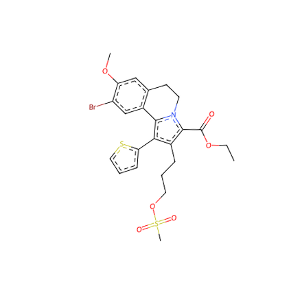 CCOC(=O)c1c(CCCOS(C)(=O)=O)c(-c2cccs2)c2n1CCc1cc(OC)c(Br)cc1-2